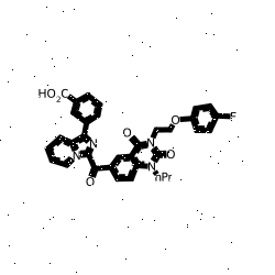 CCCn1c(=O)n(CCOc2ccc(F)cc2)c(=O)c2cc(C(=O)c3nc(-c4cccc(C(=O)O)c4)c4ccccn34)ccc21